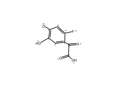 O=C(O)C(=O)c1cc(O)c(Cl)cc1F